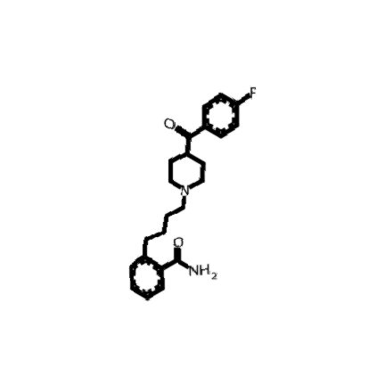 NC(=O)c1ccccc1CCCCN1CCC(C(=O)c2ccc(F)cc2)CC1